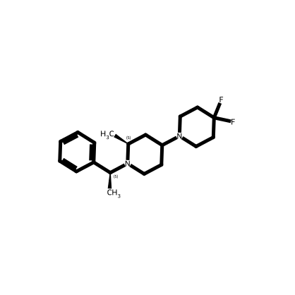 C[C@H]1CC(N2CCC(F)(F)CC2)CCN1[C@@H](C)c1ccccc1